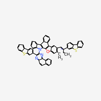 C=C/C(=C\c1cc2c(cc1C)oc1c2c2ccccc2c2c3ccccc3n(-c3nc4c(ccc5ccccc54)nc3-c3ccc4c(c3)sc3ccccc34)c12)c1ccc2c(c1)sc1ccccc12